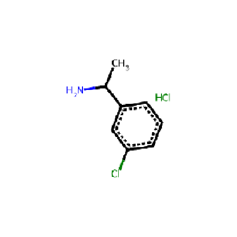 CC(N)c1cccc(Cl)c1.Cl